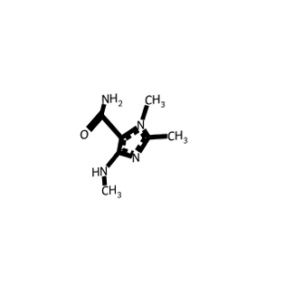 CNc1nc(C)n(C)c1C(N)=O